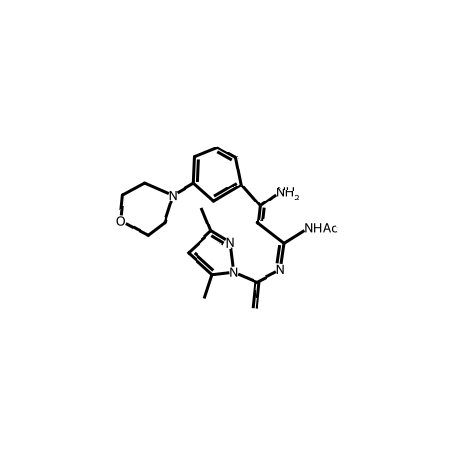 C=C(/N=C(\C=C(/N)c1cccc(N2CCOCC2)c1)NC(C)=O)n1nc(C)cc1C